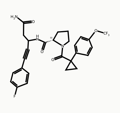 NC(=O)CC(C#Cc1ccc(F)cc1)NC(=O)[C@@H]1CCCN1C(=O)C1(c2ccc(OC(F)(F)F)cc2)CC1